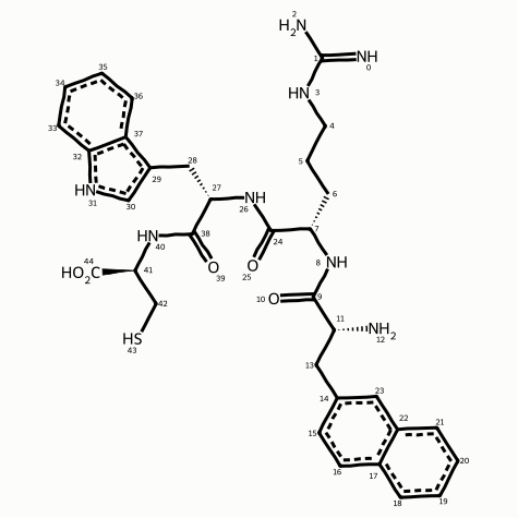 N=C(N)NCCC[C@H](NC(=O)[C@H](N)Cc1ccc2ccccc2c1)C(=O)N[C@@H](Cc1c[nH]c2ccccc12)C(=O)N[C@@H](CS)C(=O)O